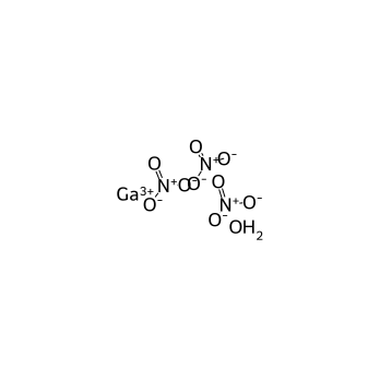 O.O=[N+]([O-])[O-].O=[N+]([O-])[O-].O=[N+]([O-])[O-].[Ga+3]